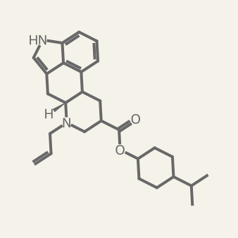 C=CCN1CC(C(=O)OC2CCC(C(C)C)CC2)CC2c3cccc4[nH]cc(c34)C[C@H]21